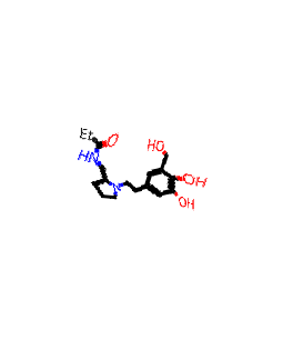 CCC(=O)NCC1CCCN1CCc1cc(O)c(O)c(CO)c1